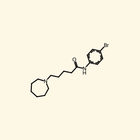 O=C(CCCCN1CCCCCC1)Nc1ccc(Br)cc1